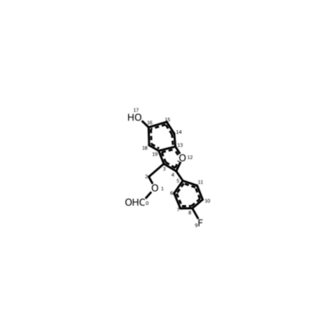 O=COCc1c(-c2ccc(F)cc2)oc2ccc(O)cc12